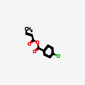 C/C=C/C(=O)OC(=O)c1ccc(Cl)cc1